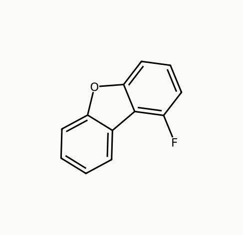 Fc1cccc2oc3ccccc3c12